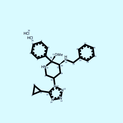 CO[C@]1(c2ccccc2)NCC(n2nnnc2C2CC2)C[C@@H]1NCc1ccccc1.Cl.Cl